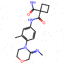 CN=C1COCCN1c1ccc(NC(=O)C2(C([NH])=O)CCC2)cc1C